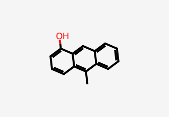 Cc1c2ccccc2cc2c(O)cccc12